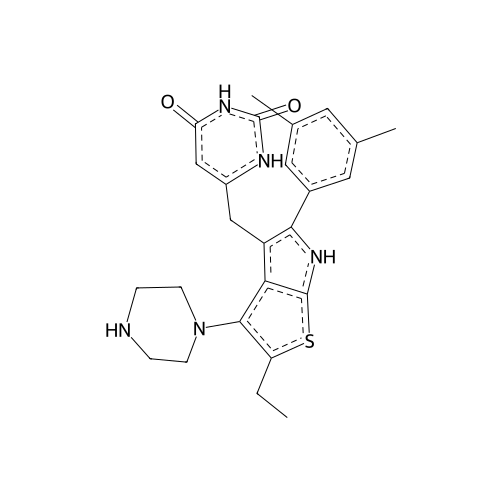 CCc1sc2[nH]c(-c3cc(C)cc(C)c3)c(Cc3cc(=O)[nH]c(=O)[nH]3)c2c1N1CCNCC1